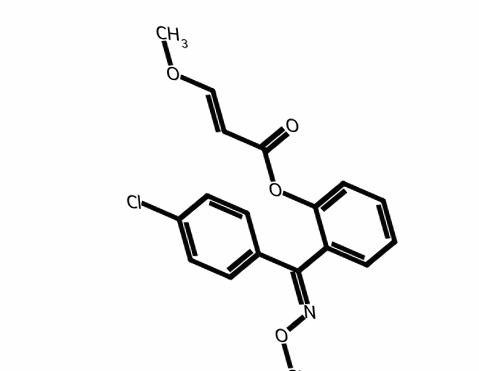 COC=CC(=O)Oc1ccccc1C(=NOC)c1ccc(Cl)cc1